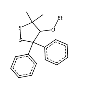 CCOC1C(C)(C)SSC1(c1ccccc1)c1ccccc1